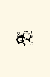 CCC(CC)N1[C@@H]2CC[C@@H](C2)[C@H]1C(=O)O